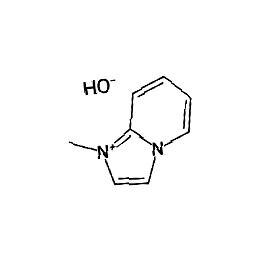 C[n+]1ccn2ccccc21.[OH-]